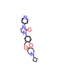 O=C1N(c2ccncc2)CCN1c1ccc2c(c1)COC1(CCN(C3CCC3)CC1)O2